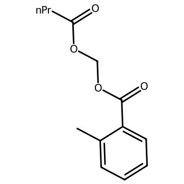 CCCC(=O)OCOC(=O)c1ccccc1C